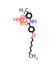 CCCCCCCCOc1ccc(C(=O)Nc2ccc(C)cc2OP(=O)(O)O)cc1